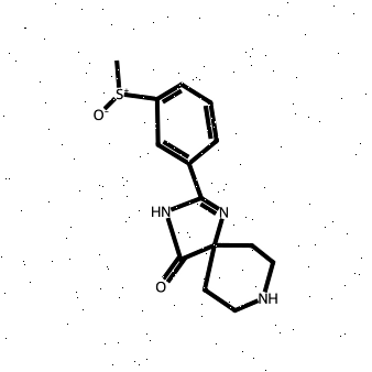 C[S+]([O-])c1cccc(C2=NC3(CCNCC3)C(=O)N2)c1